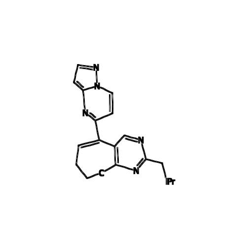 CC(C)Cc1ncc2c(n1)CCCC=C2c1ccn2nccc2n1